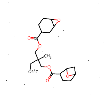 COCC(C)(COC(=O)C1CCC2OC2C1)COC(=O)C1CCC2CC1O2